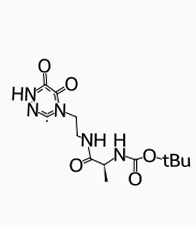 C[C@H](NC(=O)OC(C)(C)C)C(=O)NCCn1[c]n[nH]c(=O)c1=O